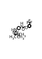 Cc1cnc(N[C@H]2CC[C@@H](NC(=O)COc3cccc(C(F)(F)F)c3)CC2)nc1N(C)C